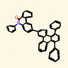 O=c1c2ccccc2c2cc(-c3ccc4c(c3)c3ccccc3c3c(-c5ccccc5)ccc(-c5ccccc5)c43)ccc2n1-c1ccccc1